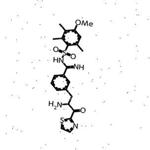 COc1cc(C)c(S(=O)(=O)NC(=N)c2cccc(CC(N)C(=O)c3nccs3)c2)c(C)c1C